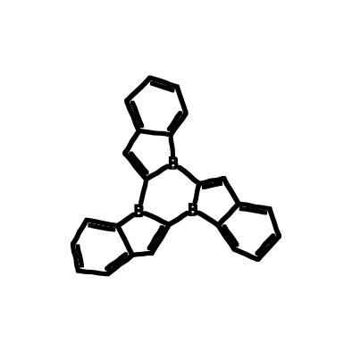 C1=C2B3C(=Cc4ccccc43)B3C(=Cc4ccccc43)B2c2ccccc21